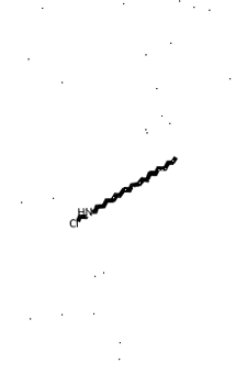 CCCCCC=CCC=CCC=CCC=CCCCCNCCCl